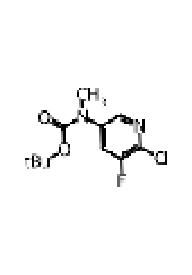 CN(C(=O)OC(C)(C)C)c1cnc(Cl)c(F)c1